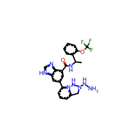 CC(NC(=O)c1cc(-c2cccc3[n+]2NN(NN)C3)cc2[nH]cnc12)c1ccccc1OC(F)(F)F